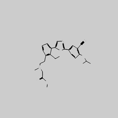 CCc1c(CCN(C)CC(=O)OC)cccc1-c1cnc(-c2ccc(OC(C)C)c(C#N)c2)s1